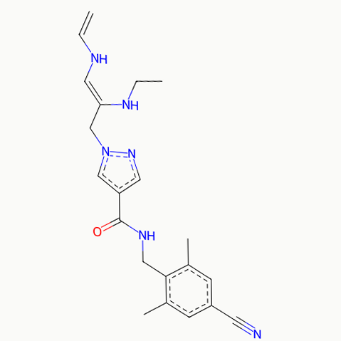 C=CN/C=C(/Cn1cc(C(=O)NCc2c(C)cc(C#N)cc2C)cn1)NCC